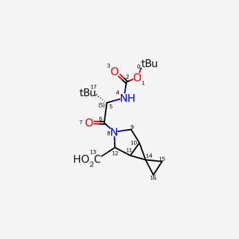 CC(C)(C)OC(=O)N[C@H](C(=O)N1CC2C(C1C(=O)O)C21CC1)C(C)(C)C